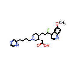 COc1ccc2nccc(C(F)CC[C@@H]3CCN(CCCCc4cnccn4)C[C@@H]3CC(=O)O)c2c1